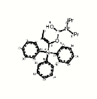 CC=C(OP(O)N(C(C)C)C(C)C)[Si](c1ccccc1)(c1ccccc1)c1ccccc1